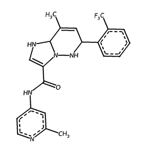 CC1=CC(c2ccccc2C(F)(F)F)NN2C(C(=O)Nc3ccnc(C)c3)=CNC12